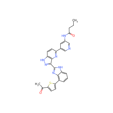 CCCC(=O)Nc1cncc(-c2ccc3[nH]nc(-c4nc5c(-c6ccc(C(C)=O)s6)cccc5[nH]4)c3n2)c1